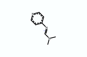 CN(C)/C=N/c1[c]cncc1